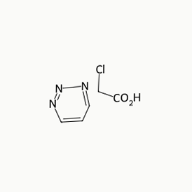 O=C(O)CCl.c1cnnnc1